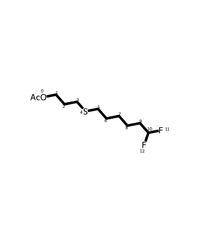 CC(=O)OCCCSCCCCCC(F)F